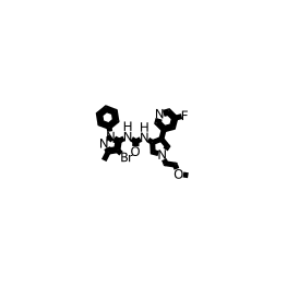 COCCN1CC(NC(=O)Nc2c(Br)c(C)nn2-c2ccccc2)C(c2cncc(F)c2)C1